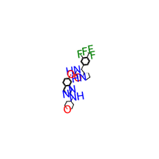 O=C(N[C@H](c1ccc(C(F)(F)F)c(F)c1)[C@@H]1CCCN1)Oc1ccc2cnc(NC3CCOCC3)nc2c1